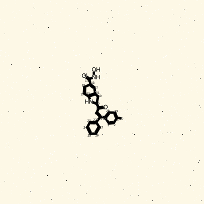 Cc1ccc(C(=CC(=O)C2Cc3cc(C(=O)NO)ccc3N2)c2ccccc2)cc1